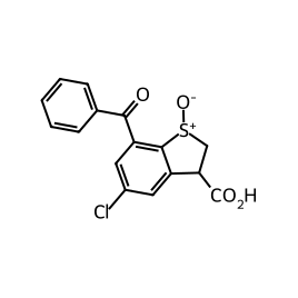 O=C(c1ccccc1)c1cc(Cl)cc2c1[S+]([O-])CC2C(=O)O